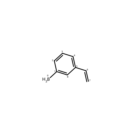 Bc1cccc(C=C)c1